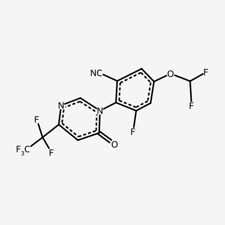 N#Cc1cc(OC(F)F)cc(F)c1-n1cnc(C(F)(F)C(F)(F)F)cc1=O